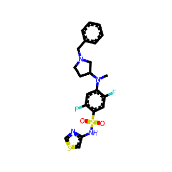 CN(c1cc(F)c(S(=O)(=O)Nc2cscn2)cc1F)C1CCN(Cc2ccccc2)C1